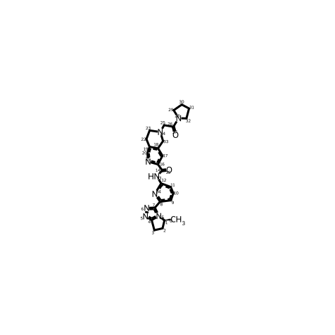 C[C@H]1CCc2nnc(-c3cccc(NC(=O)c4cc5c(cn4)CCN(CC(=O)N4CCCC4)C5)n3)n21